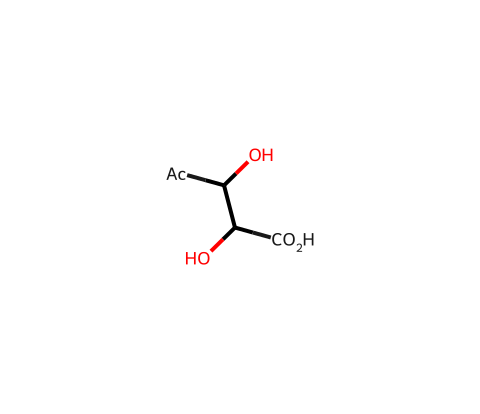 CC(=O)C(O)C(O)C(=O)O